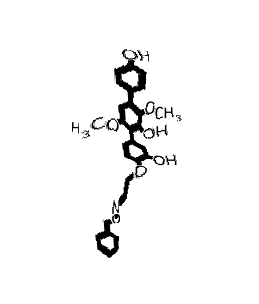 COc1cc(-c2ccc(O)cc2)c(OC)c(O)c1-c1ccc(OC/C=N/OCc2ccccc2)c(O)c1